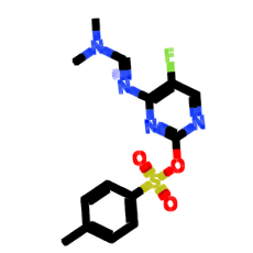 Cc1ccc(S(=O)(=O)Oc2ncc(F)c(/N=C/N(C)C)n2)cc1